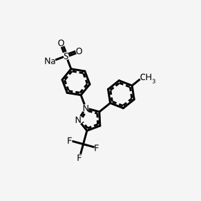 Cc1ccc(-c2cc(C(F)(F)F)nn2-c2ccc([S](=O)(=O)[Na])cc2)cc1